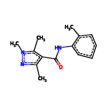 Cc1ccccc1NC(=O)c1c(C)nn(C)c1C